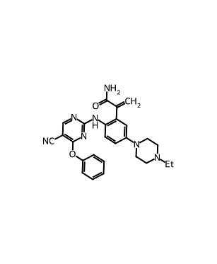 C=C(C(N)=O)c1cc(N2CCN(CC)CC2)ccc1Nc1ncc(C#N)c(Oc2ccccc2)n1